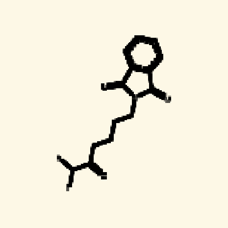 O=C(CCCCN1C(=O)c2ccccc2C1=O)C(F)F